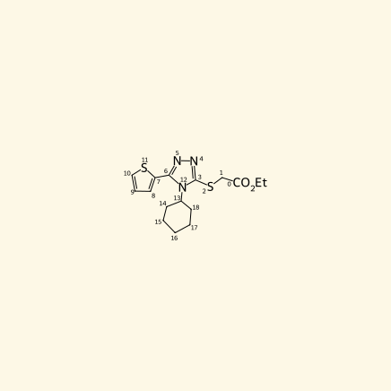 CCOC(=O)CSc1nnc(-c2cccs2)n1C1CCCCC1